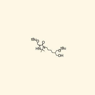 CC(C)(C)OCC(CO)CCCCN1C(=O)[C@H](COC(C)(C)C)NC1(C)C